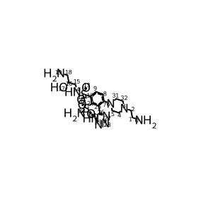 NCCN1CCN(c2ccc(S(=O)(=O)NCC(O)CN)c(S(N)(=O)=O)c2-c2nnn[nH]2)CC1